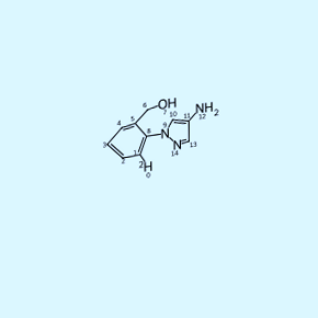 [2H]c1cccc(CO)c1-n1cc(N)cn1